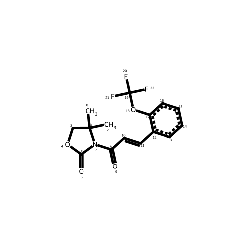 CC1(C)COC(=O)N1C(=O)/C=C/c1ccccc1OC(F)(F)F